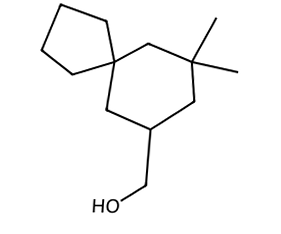 CC1(C)CC(CO)CC2(CCCC2)C1